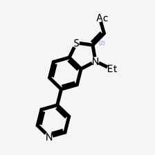 CCN1/C(=C/C(C)=O)Sc2ccc(-c3ccncc3)cc21